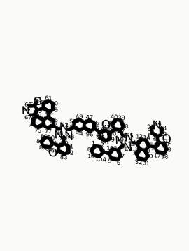 c1ccc(-c2cccc(-c3nc(-c4ccc(-c5cccc6oc7cnccc7c56)c5ccccc45)nc(-c4cccc5oc6c(-c7ccc8ccc(-c9nc(-c%10cc(-c%11cccc%12oc%13cnccc%13c%11%12)c%11ccccc%11c%10)nc(-c%10cccc%11oc%12ccccc%12c%10%11)n9)cc8c7)cccc6c45)n3)c2)cc1